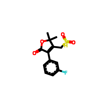 CC1(C)OC(=O)C(c2cccc(F)c2)=C1C[SH](=O)=O